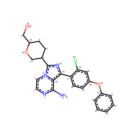 Nc1nccn2c(C3CCC(CO)OC3)nc(-c3ccc(Oc4ccccc4)cc3Cl)c12